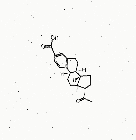 CC(=O)[C@H]1CC[C@H]2[C@@H]3CCc4cc(C(=O)O)ccc4[C@H]3CC[C@]12C